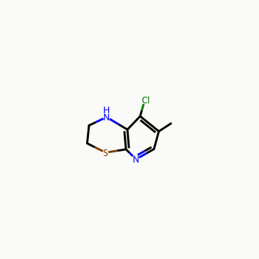 Cc1cnc2c(c1Cl)NCCS2